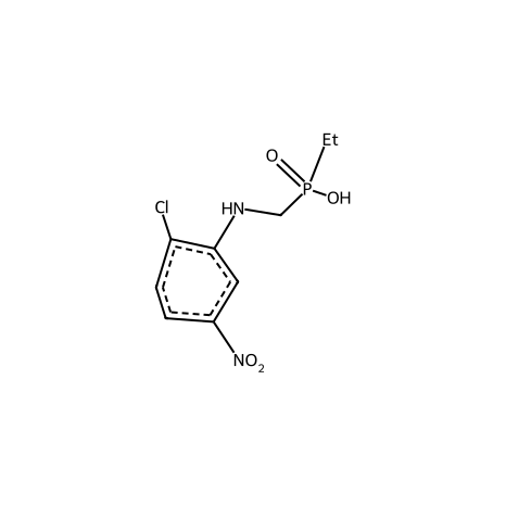 CCP(=O)(O)CNc1cc([N+](=O)[O-])ccc1Cl